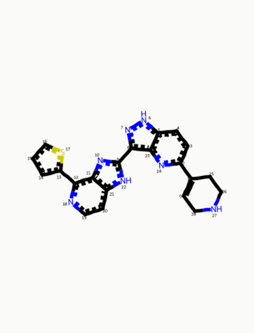 C1=C(c2ccc3[nH]nc(-c4nc5c(-c6cccs6)nccc5[nH]4)c3n2)CCNC1